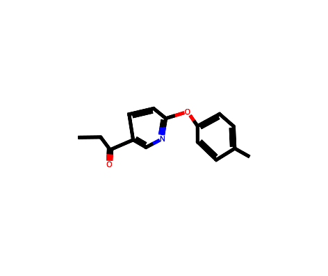 CCC(=O)c1ccc(Oc2ccc(C)cc2)nc1